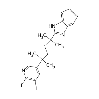 CC(C)(CCC(C)(C)c1nc2ccccc2[nH]1)c1cnc(I)c(I)c1